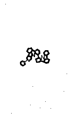 c1ccc(-c2ccc3c(c2)c2cccc4c5cccc(-c6cccc7c8cccc9c%10ccccc%10n(c67)c98)c5n3c24)cc1